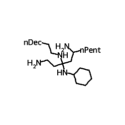 CCCCCCCCCCCCNC(CCN)(CC(N)CCCCC)NC1CCCCC1